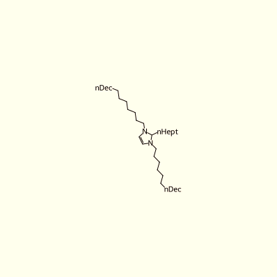 CCCCCCCCCCCCCCCCCN1C=CN(CCCCCCCCCCCCCCCC)C1CCCCCCC